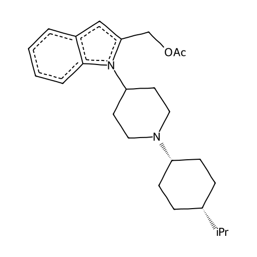 CC(=O)OCc1cc2ccccc2n1C1CCN([C@H]2CC[C@@H](C(C)C)CC2)CC1